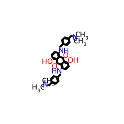 CN(C)Cc1ccc(CNc2ccc(O)c3c2C(=O)c2c(O)ccc(NCc4ccc(CN(C)C)cc4)c2C3=O)cc1